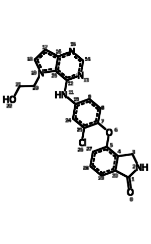 O=C1NCc2c(Oc3ccc(Nc4ncnc5ccn(CCO)c45)cc3Cl)cccc21